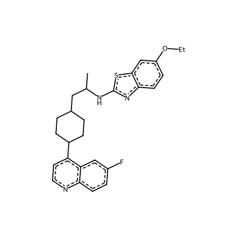 CCOc1ccc2nc(NC(C)CC3CCC(c4ccnc5ccc(F)cc45)CC3)sc2c1